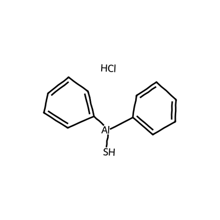 Cl.[SH][Al]([c]1ccccc1)[c]1ccccc1